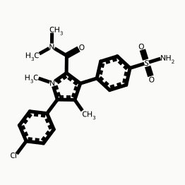 Cc1c(-c2ccc(S(N)(=O)=O)cc2)c(C(=O)N(C)C)n(C)c1-c1ccc(Cl)cc1